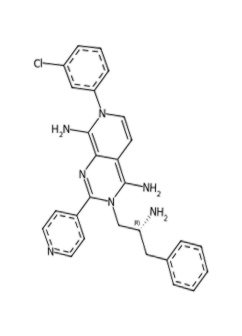 NC1=C2C=CN(c3cccc(Cl)c3)C(N)=C2N=C(c2ccncc2)N1C[C@H](N)Cc1ccccc1